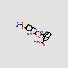 COC(=O)[C@H](Cc1ccc(OC(=O)N(C)C)cc1)NC(=O)C12CC3CC(C1)CC(C(=O)OC)(C3)C2